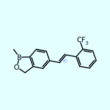 CB1OCc2cc(/C=C/c3ccccc3C(F)(F)F)ccc21